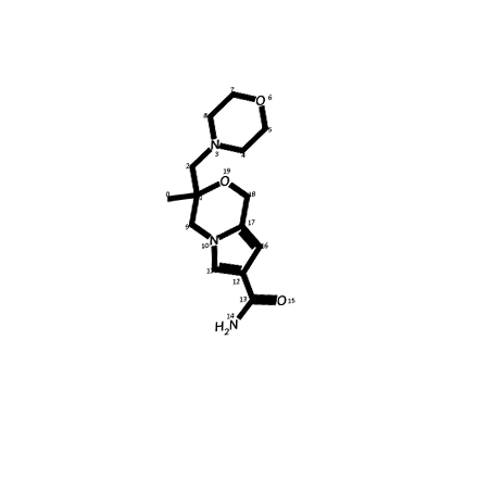 CC1(CN2CCOCC2)Cn2cc(C(N)=O)cc2CO1